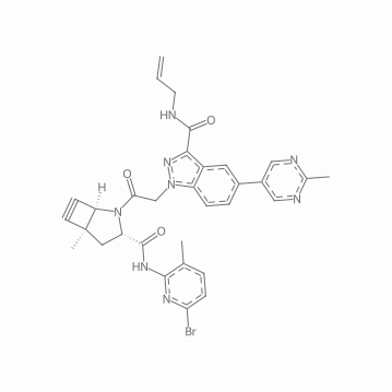 C=CCNC(=O)c1nn(CC(=O)N2[C@H](C(=O)Nc3nc(Br)ccc3C)C[C@@]3(C)C#C[C@@H]23)c2ccc(-c3cnc(C)nc3)cc12